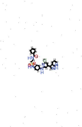 O=C(NCCS(=O)(=O)NC1CCC(Nc2cc(-c3c[nH]c4ncccc34)cc(Cl)n2)CC1)c1ccccc1